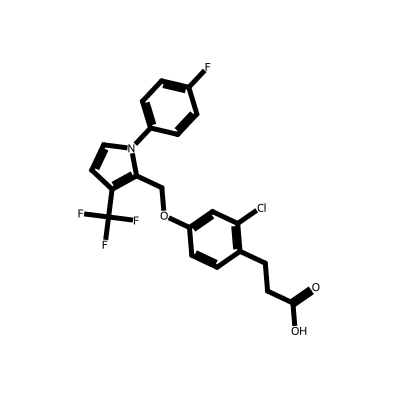 O=C(O)CCc1ccc(OCc2c(C(F)(F)F)ccn2-c2ccc(F)cc2)cc1Cl